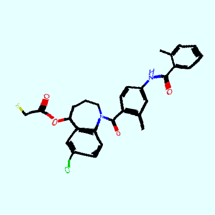 Cc1ccccc1C(=O)Nc1ccc(C(=O)N2CCCC(OC(=O)C[S])c3cc(Cl)ccc32)c(C)c1